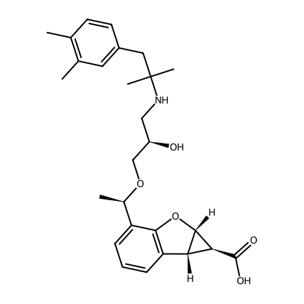 Cc1ccc(CC(C)(C)NC[C@@H](O)CO[C@H](C)c2cccc3c2O[C@@H]2[C@@H](C(=O)O)[C@H]32)cc1C